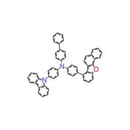 c1ccc(-c2ccc(N(c3ccc(-c4cccc5oc6c7ccccc7ccc6c45)cc3)c3ccc(-n4c5ccccc5c5ccccc54)cc3)cc2)cc1